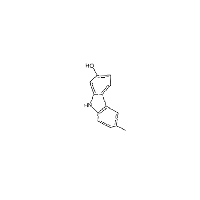 Cc1ccc2[nH]c3cc(O)ccc3c2c1